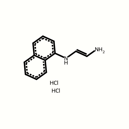 Cl.Cl.NC=CNc1cccc2ccccc12